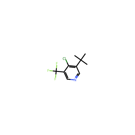 CC(C)(C)c1cncc(C(F)(F)F)c1Cl